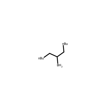 BC(CCCCC)CCCCC